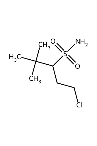 CC(C)(C)C(CCCl)S(N)(=O)=O